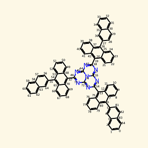 c1ccc2cc(-c3c4ccccc4c(C4=NC5=NC(c6c7ccccc7c(-c7ccc8ccccc8c7)c7ccccc67)=NC6=NC(c7c8ccccc8c(-c8ccc9ccccc9c8)c8ccccc78)=NC(=N4)N56)c4ccccc34)ccc2c1